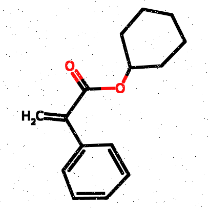 C=C(C(=O)OC1CCCCC1)c1ccccc1